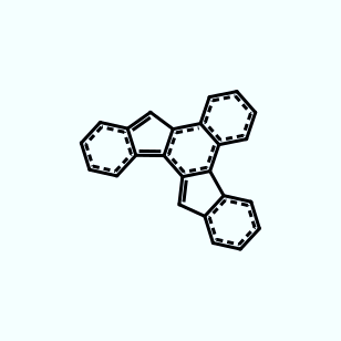 C1=c2ccccc2=c2c1c1ccccc1c1c2=Cc2ccccc2-1